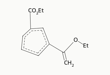 C=C(OCC)c1cccc(C(=O)OCC)c1